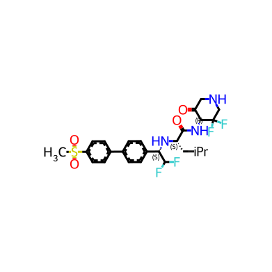 CC(C)C[C@H](N[C@@H](c1ccc(-c2ccc(S(C)(=O)=O)cc2)cc1)C(F)F)C(=O)N[C@@H]1C(=O)CNCC1(F)F